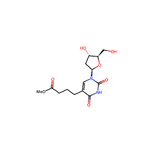 COC(=O)CCCc1cn([C@H]2C[C@H](O)[C@@H](CO)O2)c(=O)[nH]c1=O